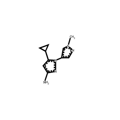 Cn1cc(-n2nc(N)cc2C2CC2)cn1